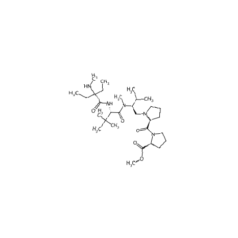 CCC(CC)(NC)C(=O)N[C@H](C(=O)N(C)[C@H](CN1CCC[C@H]1C(=O)N1CCC[C@H]1C(=O)OC)C(C)C)C(C)(C)C